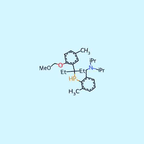 CCC(CC)(Pc1c(C)cccc1CN(C(C)C)C(C)C)c1cc(C)ccc1OCOC